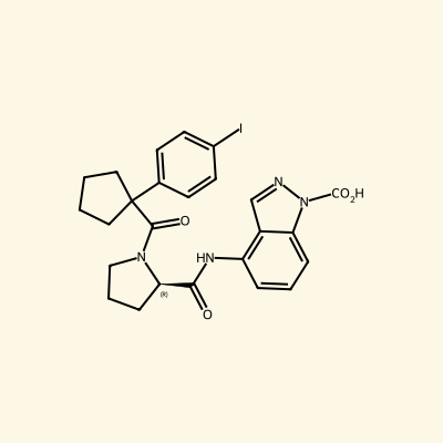 O=C(Nc1cccc2c1cnn2C(=O)O)[C@H]1CCCN1C(=O)C1(c2ccc(I)cc2)CCCC1